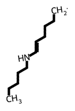 [CH2]CCCC=CNCCCCC